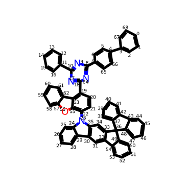 c1ccc(-c2ccc(-c3nc(-c4ccccc4)nc(-c4ccc(-n5c6ccccc6c6cc7c(cc65)C5(c6ccccc6-c6ccccc65)c5ccccc5-7)c5oc6ccccc6c45)n3)cc2)cc1